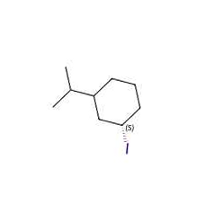 CC(C)C1CCC[C@H](I)C1